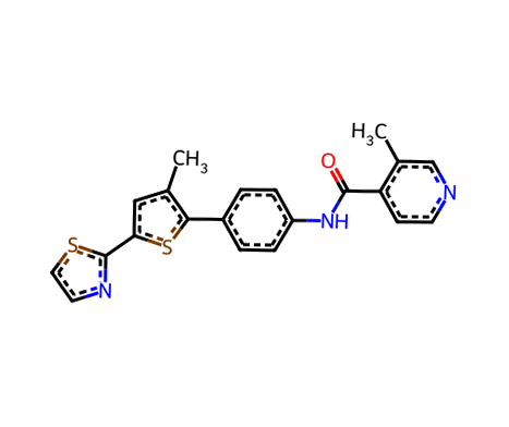 Cc1cnccc1C(=O)Nc1ccc(-c2sc(-c3nccs3)cc2C)cc1